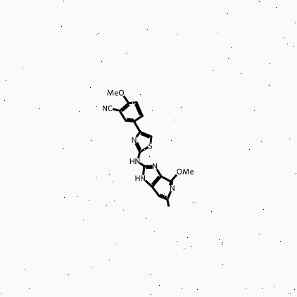 COc1ccc(-c2csc(Nc3nc4c(OC)nc(C)cc4[nH]3)n2)cc1C#N